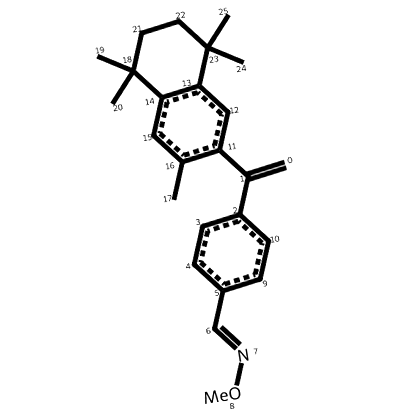 C=C(c1ccc(/C=N/OC)cc1)c1cc2c(cc1C)C(C)(C)CCC2(C)C